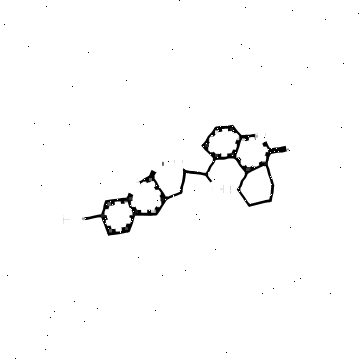 O=c1oc2cc(O)ccc2cc1CC(O)C(O)c1cccc2oc(=O)c3c(c12)CCCC3